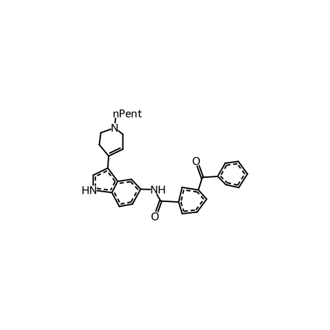 CCCCCN1CC=C(c2c[nH]c3ccc(NC(=O)c4cccc(C(=O)c5ccccc5)c4)cc23)CC1